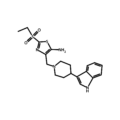 CCS(=O)(=O)c1nc(CN2CCC(c3c[nH]c4ccccc34)CC2)c(N)s1